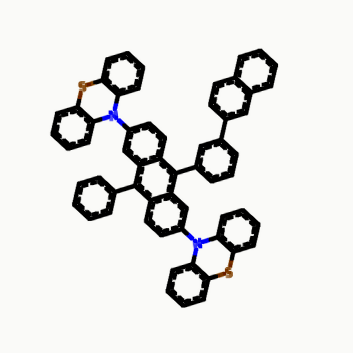 c1ccc(-c2c3ccc(N4c5ccccc5Sc5ccccc54)cc3c(-c3cccc(-c4ccc5ccccc5c4)c3)c3ccc(N4c5ccccc5Sc5ccccc54)cc23)cc1